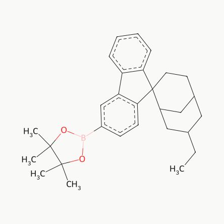 CCC1CC2CCC3(c4ccccc4-c4cc(B5OC(C)(C)C(C)(C)O5)ccc43)C(C1)C2